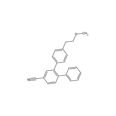 COCCc1ccc(-c2cc(C#N)ccc2-c2ccccc2)cc1